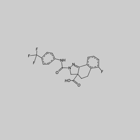 O=C(Nc1ccc(C(F)(F)F)cc1)N1CC2(C(=O)O)CCc3c(F)cccc3C2=N1